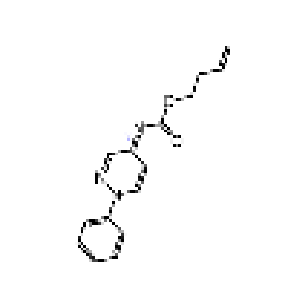 C=CCCOC(=O)/N=c1\ccn(-c2ccccc2)nc1